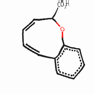 O=C(O)C1/C=C\C=C/c2ccccc2O1